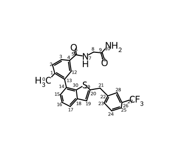 Cc1ccc(C(=O)NCC(N)=O)cc1-c1cccc2cc(Cc3cccc(C(F)(F)F)c3)sc12